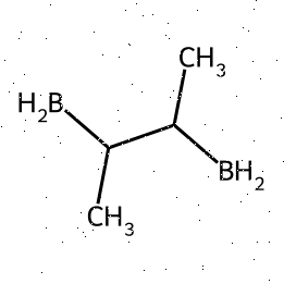 BC(C)C(B)C